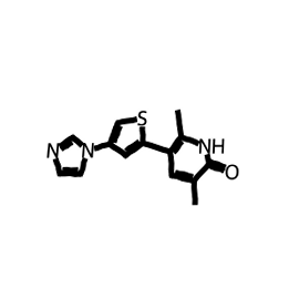 Cc1[nH]c(=O)c(C)cc1-c1cc(-n2ccnc2)cs1